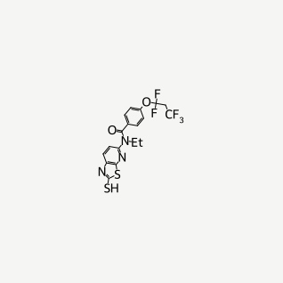 CCN(C(=O)c1ccc(OC(F)(F)CC(F)(F)F)cc1)c1ccc2nc(S)sc2n1